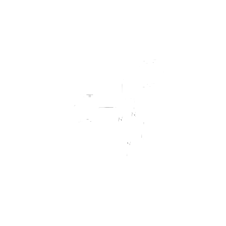 CC(Cn1nc(-c2ccccc2)c2c1-c1ccccc1C2)N(C)C